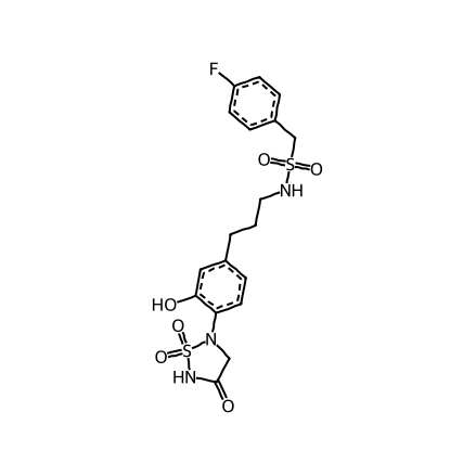 O=C1CN(c2ccc(CCCNS(=O)(=O)Cc3ccc(F)cc3)cc2O)S(=O)(=O)N1